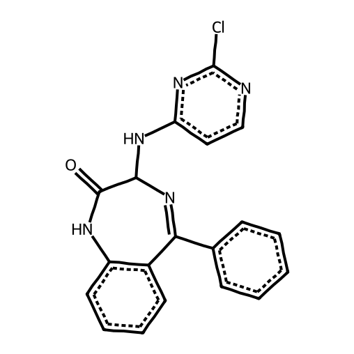 O=C1Nc2ccccc2C(c2ccccc2)=NC1Nc1ccnc(Cl)n1